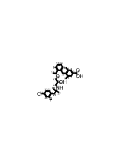 Cc1cc(C(=O)O)cc(C)c1Cc1ccccc1C(C)OC[C@H](O)CNC(C)(C)Cc1ccc(Cl)cc1F